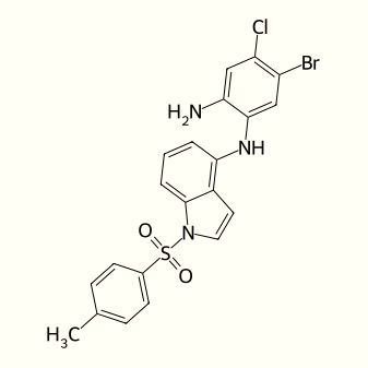 Cc1ccc(S(=O)(=O)n2ccc3c(Nc4cc(Br)c(Cl)cc4N)cccc32)cc1